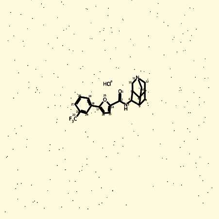 Cl.O=C(NC1C2CC3CC1CN(C3)C2)c1ccc(-c2cccc(C(F)(F)F)c2)o1